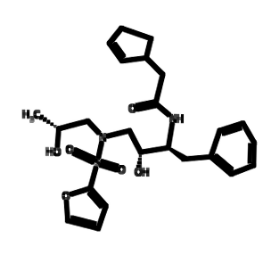 C[C@@H](O)CN(C[C@@H](O)[C@H](Cc1ccccc1)NC(=O)CC1C=CCC1)S(=O)(=O)c1ccco1